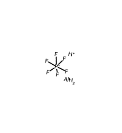 F[P-](F)(F)(F)(F)F.[AlH3].[H+]